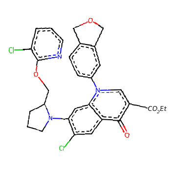 CCOC(=O)c1cn(-c2ccc3c(c2)COC3)c2cc(N3CCCC3COc3ncccc3Cl)c(Cl)cc2c1=O